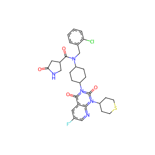 O=C1CC(C(=O)N(Cc2ccccc2Cl)C2CCC(n3c(=O)c4cc(F)cnc4n(C4CCSCC4)c3=O)CC2)CN1